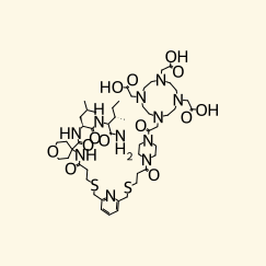 CC[C@H](C)C(NC(=O)[C@H](CC(C)C)NC(=O)C1(NC(=O)CCSCc2cccc(CSCCC(=O)N3CCN(C(=O)CN4CCN(CC(=O)O)CCN(CC(=O)O)CCN(CC(=O)O)CC4)CC3)n2)CCOCC1)C(N)=O